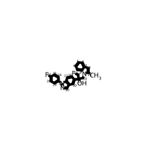 Cc1cc2ccccc2n1CC(O)(CF)c1ccc2c(cnn2-c2ccc(F)cc2)c1